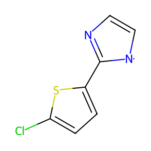 Clc1ccc(C2=NC=C[N]2)s1